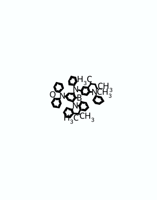 CC1CC(C)(C)N(c2ccccc2)c2cc3c(cc21)N(c1ccccc1)c1cc(N2c4ccccc4Oc4ccccc42)cc2c1B3c1cccc3c1N2c1ccccc1C3(C)C